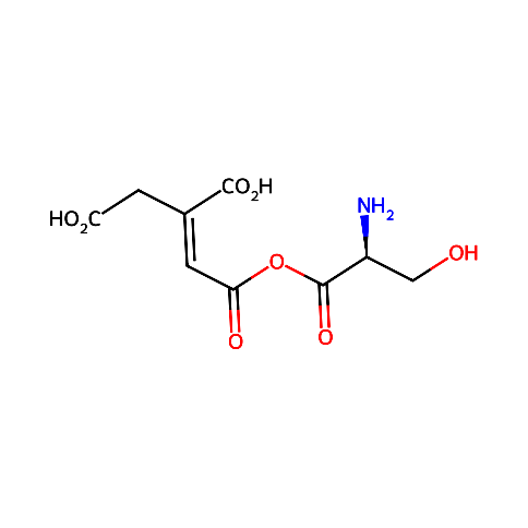 N[C@@H](CO)C(=O)OC(=O)C=C(CC(=O)O)C(=O)O